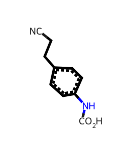 N#CCCc1ccc(NC(=O)O)cc1